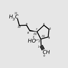 C#C[C@]1(O)CCC[C@@H]1CCCC